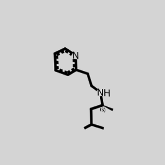 CC(C)C[C@H](C)NCCc1ccccn1